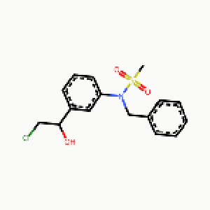 CS(=O)(=O)N(Cc1ccccc1)c1cccc(C(O)CCl)c1